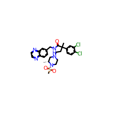 C[C@@H]1CN(CCC(C)(C(=O)NCc2ccc3nccnc3c2)c2ccc(Cl)c(Cl)c2)CCN1S(C)(=O)=O